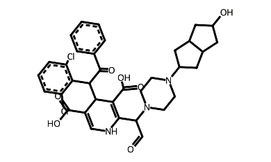 O=CC(C1=C(C(=O)O)C(C(C(=O)c2ccccc2)c2c(Cl)cccc2Cl)C(C(=O)O)=CN1)N1CCN(C2CC3CC(O)CC3C2)CC1